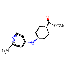 COC(=O)[C@H]1CC[C@@H](Nc2ccnc([N+](=O)[O-])c2)CC1